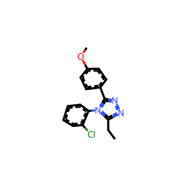 CCc1nnc(-c2ccc(OC)cc2)n1-c1ccccc1Cl